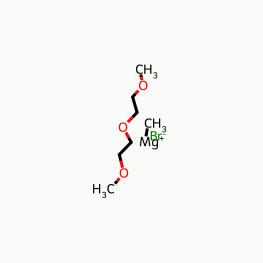 COCCOCCOC.[Br-].[CH3][Mg+]